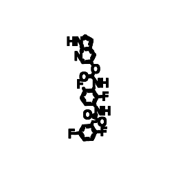 O=C(Nc1c(F)ccc(NS(=O)(=O)c2cc(F)ccc2F)c1F)Oc1cnc2[nH]ccc2c1